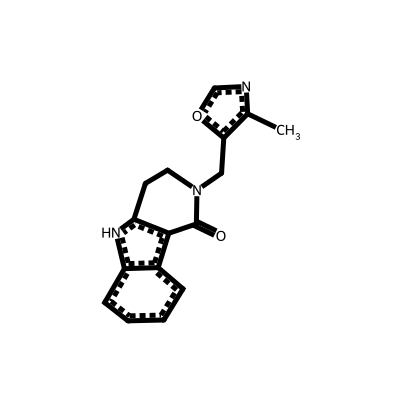 Cc1ncoc1CN1CCc2[nH]c3ccccc3c2C1=O